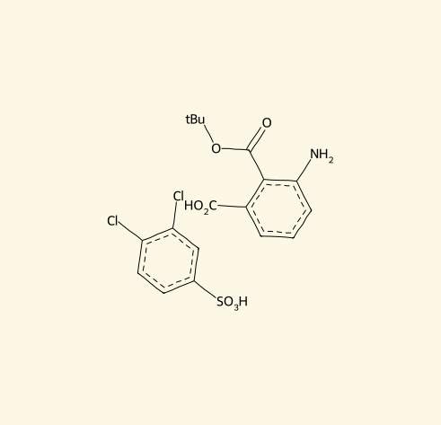 CC(C)(C)OC(=O)c1c(N)cccc1C(=O)O.O=S(=O)(O)c1ccc(Cl)c(Cl)c1